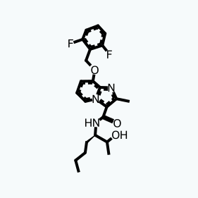 CCCC[C@@H](NC(=O)c1c(C)nc2c(OCc3c(F)cccc3F)cccn12)C(C)O